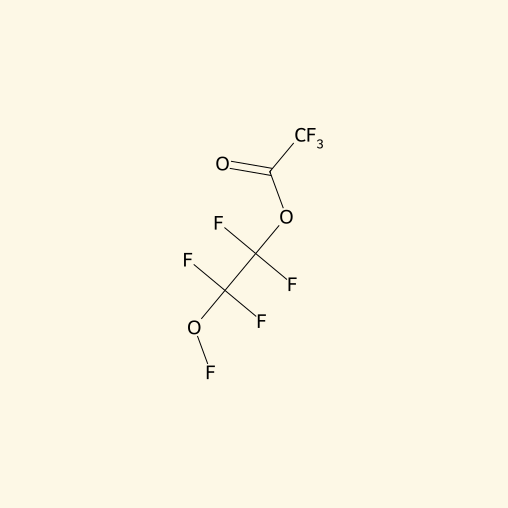 O=C(OC(F)(F)C(F)(F)OF)C(F)(F)F